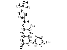 CCC(O)(CC)c1ccn(NCc2cc3oc(=O)cc(-c4ccc(F)cc4)c3cc2F)n1